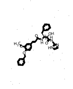 COc1cc(C=CC(=O)N[C@@H](Cc2ccccc2)[C@@H](O)C(=O)Nc2ncc[nH]2)ccc1OCc1ccccc1